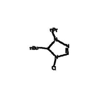 CCCCC1N(Cl)C=NN1CCC